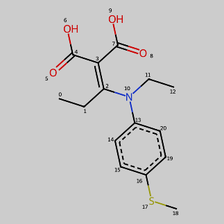 CCC(=C(C(=O)O)C(=O)O)N(CC)c1ccc(SC)cc1